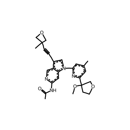 COC1(c2cc(C)cc(-n3cc(C#CC4(C)COC4)c4cnc(NC(C)=O)cc43)n2)CCOC1